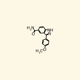 COc1ccc(-c2n[nH]c3ccc(C(N)=O)cc23)cc1